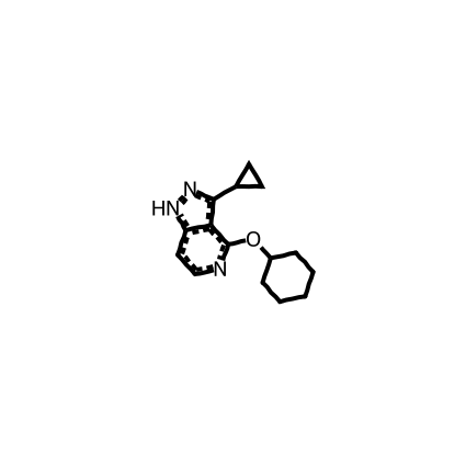 c1cc2[nH]nc(C3CC3)c2c(OC2CCCCC2)n1